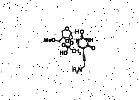 COC[C@@]12CO[C@H](C1OP(C)(=O)O)[C@H](n1cc(C#CCN)c(=O)[nH]c1=O)O2